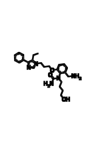 CCc1c(-c2ccccc2)ncn1CCCOc1cccc(CN)c1N(CCCCO)C(N)=O